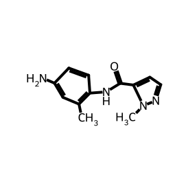 Cc1cc(N)ccc1NC(=O)c1ccnn1C